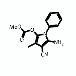 COC(=O)Oc1c(C)c(C#N)c(N)n1-c1ccccc1